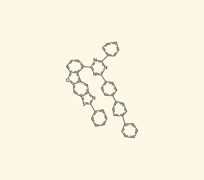 c1ccc(-c2ccc(-c3ccc(-c4nc(-c5ccccc5)nc(-c5cccc6oc7cc8sc(-c9ccccc9)nc8cc7c56)n4)cc3)cc2)cc1